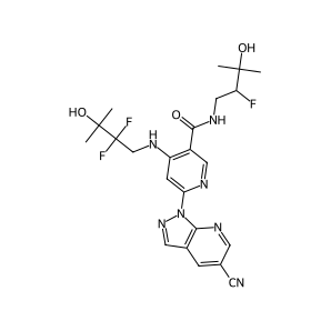 CC(C)(O)C(F)CNC(=O)c1cnc(-n2ncc3cc(C#N)cnc32)cc1NCC(F)(F)C(C)(C)O